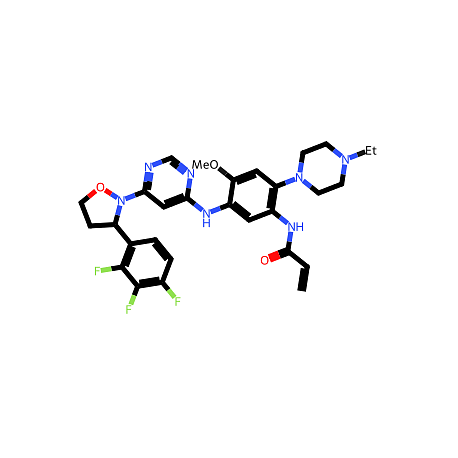 C=CC(=O)Nc1cc(Nc2cc(N3OCCC3c3ccc(F)c(F)c3F)ncn2)c(OC)cc1N1CCN(CC)CC1